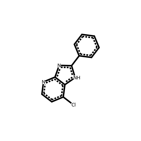 Clc1ccnc2nc(-c3ccccc3)[nH]c12